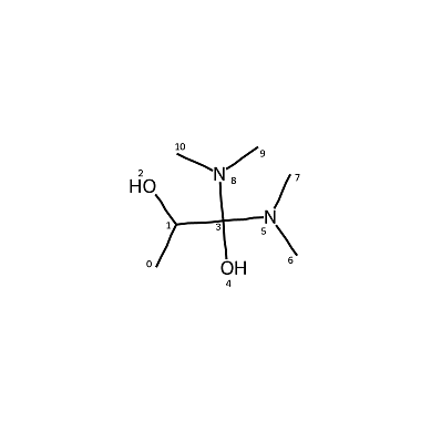 CC(O)C(O)(N(C)C)N(C)C